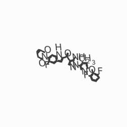 Cc1cc(Oc2c(F)cccc2F)ncc1-n1ncc(C(=O)c2cc3cc(F)c(N4C(=O)C#CCC4=O)cc3[nH]2)c1N